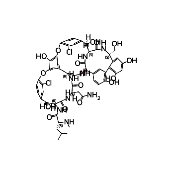 CN[C@H](CC(C)C)C(=O)N[C@H]1C(=O)N[C@@H](CC(N)=O)C(=O)N[C@H]2CN[C@H]3C(=O)N[C@H](C(=O)N[C@H](CO)c4cc(O)cc(O)c4-c4cc3ccc4O)[C@H](O)c3ccc(c(Cl)c3)Oc3cc2cc(c3O)Oc2ccc(cc2Cl)[C@H]1O